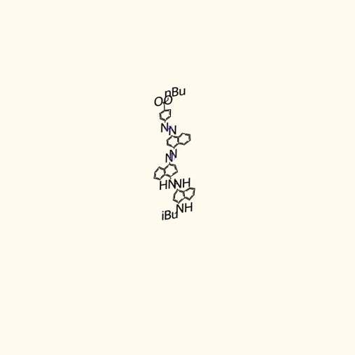 CCCCOC(=O)c1ccc(/N=N/c2ccc(/N=N/c3ccc(NNc4ccc(NC(C)CC)c5ccccc45)c4ccccc34)c3ccccc23)cc1